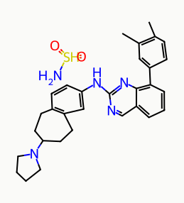 Cc1ccc(-c2cccc3cnc(Nc4ccc5c(c4)CCC(N4CCCC4)CC5)nc23)cc1C.N[SH](=O)=O